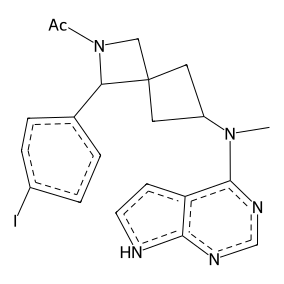 CC(=O)N1CC2(CC(N(C)c3ncnc4[nH]ccc34)C2)C1c1ccc(I)cc1